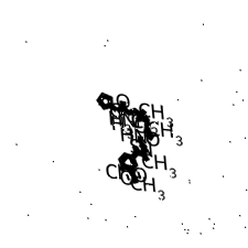 Cc1nc(NC(=O)C(C)(C)CC(C)(C)C[C@H](N)C(=O)OC2CCCC2)sc1-c1ccc(Cl)c(S(C)(=O)=O)c1